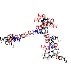 COc1ccc2c3c(c4ccccc4cc13)C(O)N(CCN(C)C(=O)OCc1ccc(O[C@@H]3O[C@H](C(=O)O)C[C@H](O)[C@H]3O)c(C(=O)NCCOCCOCCONC(=O)OC(C)(C)C)c1)C2=O